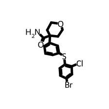 NC(=O)C1(c2cccc(Sc3ccc(Br)cc3Cl)c2)CCOCC1